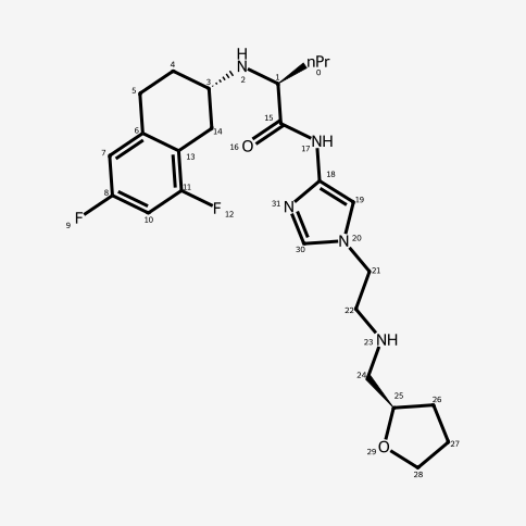 CCC[C@H](N[C@H]1CCc2cc(F)cc(F)c2C1)C(=O)Nc1cn(CCNC[C@H]2CCCO2)cn1